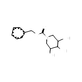 O=C(OCc1ccccc1)N1CC(O)C(O)C(O)C1